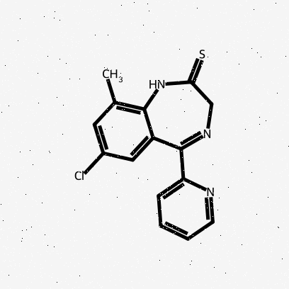 Cc1cc(Cl)cc2c1NC(=S)CN=C2c1ccccn1